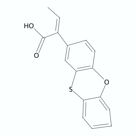 CC=C(C(=O)O)c1ccc2c(c1)Sc1ccccc1O2